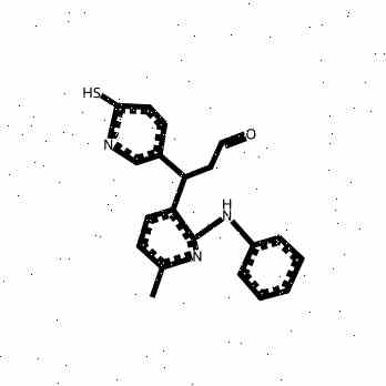 Cc1ccc(C(CC=O)c2ccc(S)nc2)c(Nc2ccccc2)n1